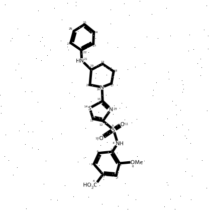 COc1cc(C(=O)O)ccc1NS(=O)(=O)c1csc(N2CCCC(Nc3ccccc3)C2)n1